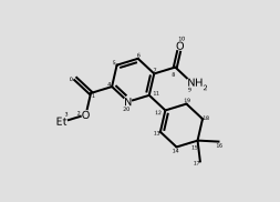 C=C(OCC)c1ccc(C(N)=O)c(C2=CCC(C)(C)CC2)n1